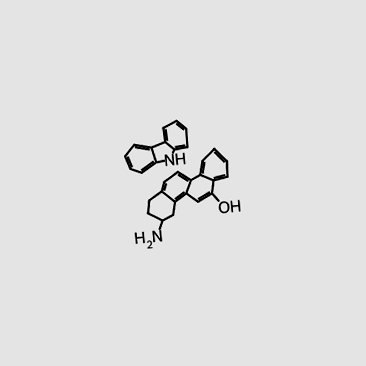 NC1CCc2ccc3c(cc(O)c4ccccc43)c2C1.c1ccc2c(c1)[nH]c1ccccc12